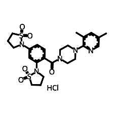 Cc1cnc(N2CCN(C(=O)c3ccc(N4CCCS4(=O)=O)cc3N3CCCS3(=O)=O)CC2)c(C)c1.Cl